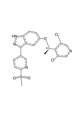 C[C@@H](Oc1ccc2[nH]nc(-c3ccc(S(C)(=O)=O)nc3)c2c1)c1c(Cl)cncc1Cl